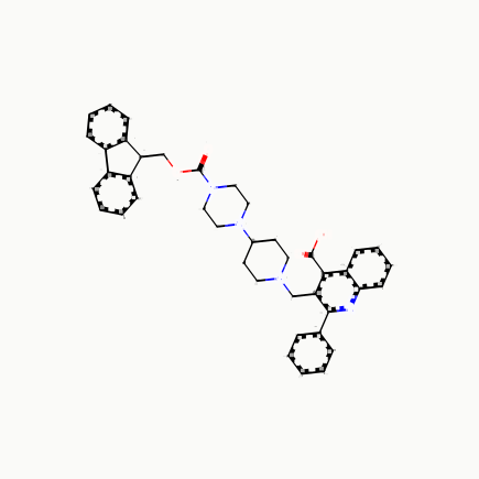 O=C(O)c1c(CN2CCC(N3CCN(C(=O)OCC4c5ccccc5-c5ccccc54)CC3)CC2)c(-c2ccccc2)nc2ccccc12